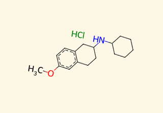 COc1ccc2c(c1)CCC(NC1CCCCC1)C2.Cl